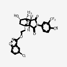 C[C@]12O[C@](CCOc3noc4ccc(Cl)cc34)(C[C@@H]1O)[C@H]1C(=O)N(c3ccc(C#N)c(C(F)(F)F)c3)C(=O)[C@H]12